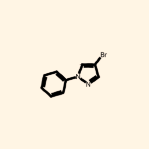 Brc1[c]n(-c2ccccc2)nc1